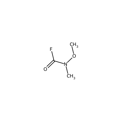 CON(C)C(=O)F